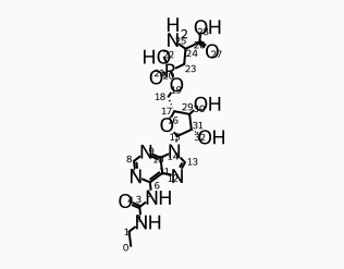 CCNC(=O)Nc1ncnc2c1ncn2[C@@H]1O[C@H](COP(=O)(O)CC(N)C(=O)O)C(O)[C@@H]1O